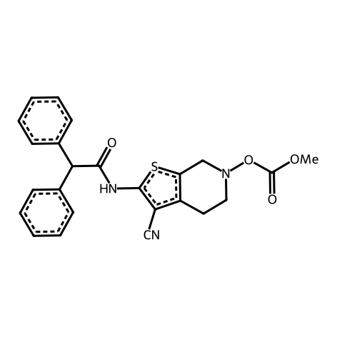 COC(=O)ON1CCc2c(sc(NC(=O)C(c3ccccc3)c3ccccc3)c2C#N)C1